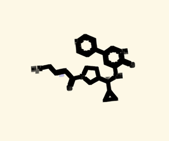 NC/C=C/C(=O)N1CCC([C@@H](Nc2cc(-c3ccncc3)c[nH]c2=O)C2CC2)C1